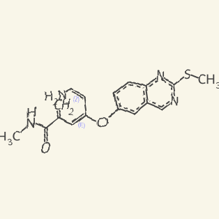 C=C(/C=C(\C=C/N)Oc1ccc2nc(SC)ncc2c1)C(=O)NC